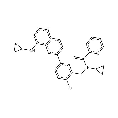 O=C(c1ccccn1)N(Cc1cc(-c2ccc3ncnc(NC4CC4)c3c2)ccc1Cl)C1CC1